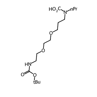 CCCN(CCCOCCOCCNC(=O)OC(C)(C)C)C(=O)O